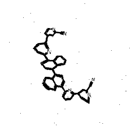 N#Cc1cc(-c2cccc(-c3ccc(-c4ccc(-c5cccc(-c6ccnc(C#N)c6)n5)c5ccccc45)c4ccccc34)n2)ccn1